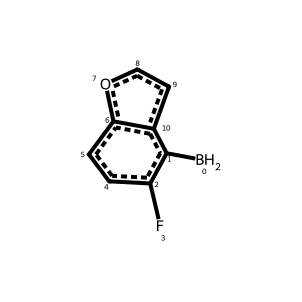 Bc1c(F)ccc2occc12